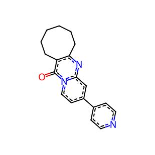 O=c1c2c(nc3cc(-c4ccncc4)ccn13)CCCCCC2